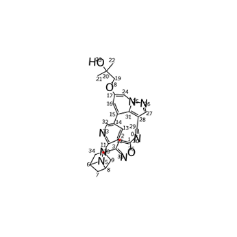 Cc1cc(CN2C3CC2CN(c2ccc(-c4cc(OCC(C)(C)O)cn5ncc(C#N)c45)cn2)C3)no1